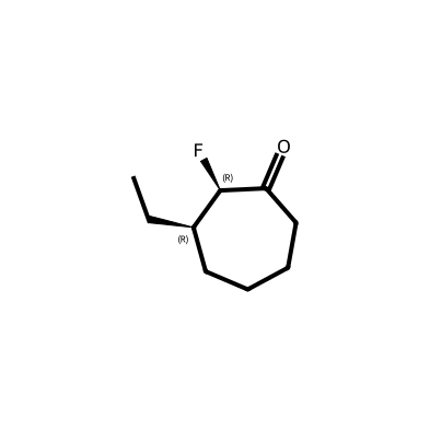 CC[C@@H]1CCCCC(=O)[C@@H]1F